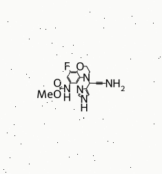 COC(=O)Nc1cc(F)c2c(c1)N(C(C#CN)c1c[nH]cn1)CCO2